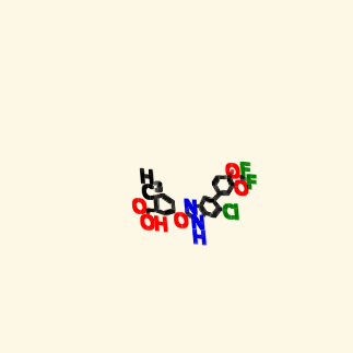 Cc1ccc(Oc2nc3cc(-c4ccc5c(c4)OC(F)(F)O5)c(Cl)cc3[nH]2)cc1C(=O)O